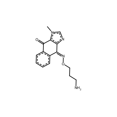 Cn1cnc2c1C(=O)c1ccccc1C2=NOCCCN